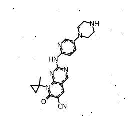 CC1(n2c(=O)c(C#N)cc3cnc(Nc4ccc(N5CCNCC5)cn4)nc32)CC1